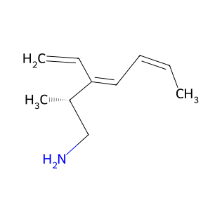 C=C/C(=C\C=C/C)[C@@H](C)CN